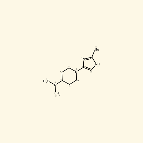 CCC(C)c1nc(N2CCC(N(C)C)CC2)c[nH]1